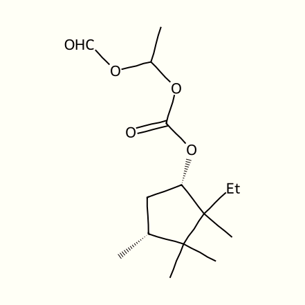 CCC1(C)[C@@H](OC(=O)OC(C)OC=O)C[C@@H](C)C1(C)C